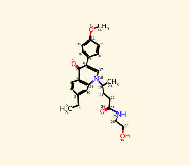 CCc1ccc2c(=O)c(-c3ccc(OC)cc3)cn(C(C)CCC(=O)NCCO)c2c1